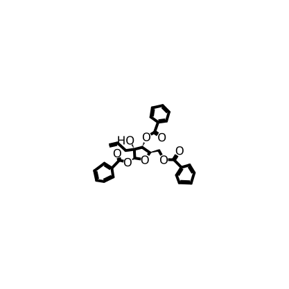 C=CC[C@]1(O)[C@@H](OC(=O)c2ccccc2)O[C@H](COC(=O)c2ccccc2)[C@H]1OC(=O)c1ccccc1